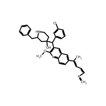 C=N/C=C\C=C(/C)c1ccc2nc(OC)c(C(c3cccc(Cl)c3)C3(O)CCNC(Cc4ccccc4)C3)cc2c1